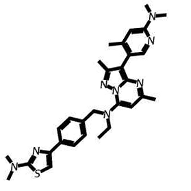 CCN(Cc1ccc(-c2csc(N(C)C)n2)cc1)c1cc(C)nc2c(-c3cnc(N(C)C)cc3C)c(C)nn12